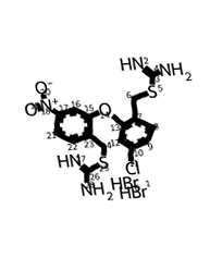 Br.Br.N=C(N)SCc1ccc(Cl)cc1Oc1cc([N+](=O)[O-])ccc1CSC(=N)N